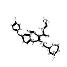 CCOC(=O)C(C#N)=C(NCC1CNCCO1)Nc1ccc(Cc2ccc(F)cc2)cc1